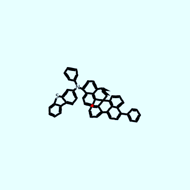 c1ccc(-c2ccc3c4c(cccc24)C2(c4ccccc4-3)c3ccccc3-c3ccc(N(c4ccccc4)c4ccc5c(c4)sc4ccccc45)c4cccc2c34)cc1